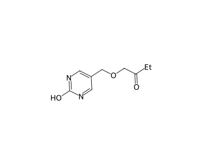 CCC(=O)COCc1cnc(O)nc1